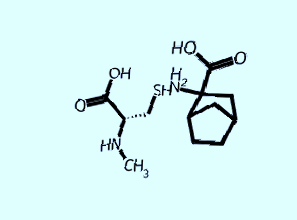 CN[C@@H](CS)C(=O)O.NC1(C(=O)O)CC2CCC1C2